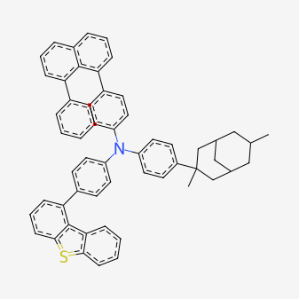 CC1CC2CC(C1)CC(C)(c1ccc(N(c3ccc(-c4cccc5cccc(-c6ccccc6)c45)cc3)c3ccc(-c4cccc5sc6ccccc6c45)cc3)cc1)C2